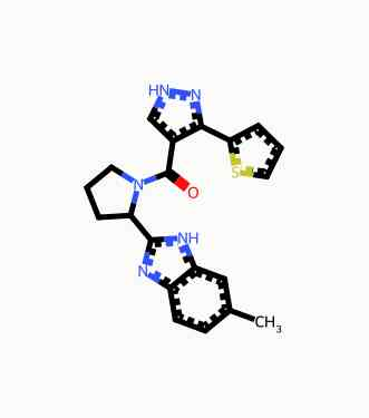 Cc1ccc2nc(C3CCCN3C(=O)c3c[nH]nc3-c3cccs3)[nH]c2c1